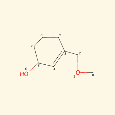 COCC1=CC(O)CCC1